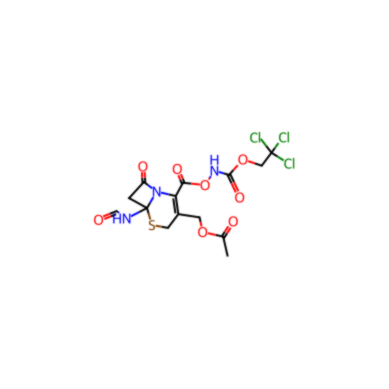 CC(=O)OCC1=C(C(=O)ONC(=O)OCC(Cl)(Cl)Cl)N2C(=O)CC2(NC=O)SC1